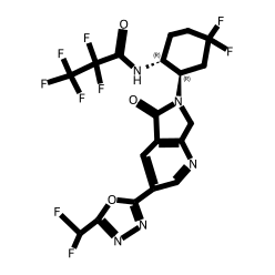 O=C1c2cc(-c3nnc(C(F)F)o3)cnc2CN1[C@@H]1CC(F)(F)CC[C@H]1NC(=O)C(F)(F)C(F)(F)F